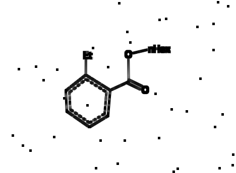 CCCCCCOC(=O)c1ccccc1CC